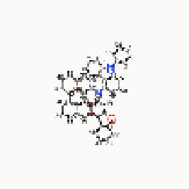 c1ccc(-n2c3ccccc3c3c(N(c4ccc5c(c4)oc4ccccc45)c4ccccc4-c4cccc5cccc(C6CCCCC6)c45)cccc32)cc1